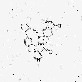 CC(=O)N1CCCC1c1ccc(Cc2cncc(C(=O)NCc3cc4c(Cl)c[nH]c4cc3F)c2)c(F)c1